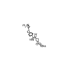 CC(C)(C)OC(=O)N1CCC(NC(=N)c2ccc(OCCON)cc2)C1